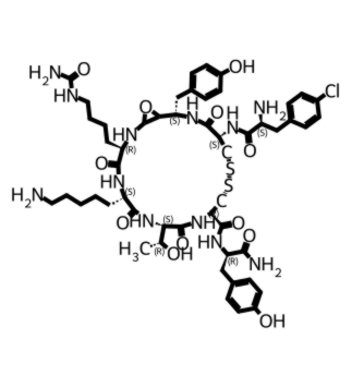 C[C@@H](O)[C@@H]1NC(=O)[C@H](CCCCCN)NC(=O)[C@@H](CCCCNC(N)=O)NC2OC2[C@H](Cc2ccc(O)cc2)NC(=O)[C@H](NC(=O)[C@@H](N)Cc2ccc(Cl)cc2)CSSC[C@@H](C(=O)N[C@H](Cc2ccc(O)cc2)C(N)=O)NC1=O